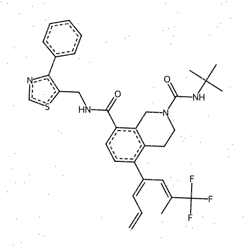 C=C/C=C(\C=C(/C)C(F)(F)F)c1ccc(C(=O)NCc2scnc2-c2ccccc2)c2c1CCN(C(=O)NC(C)(C)C)C2